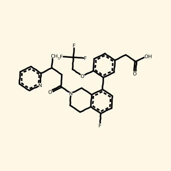 CC(CC(=O)N1CCc2c(F)ccc(-c3cc(CC(=O)O)ccc3OCC(F)(F)F)c2C1)c1ccccn1